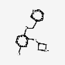 Clc1ccc(OCc2cccnc2)c(OC2CNC2)c1